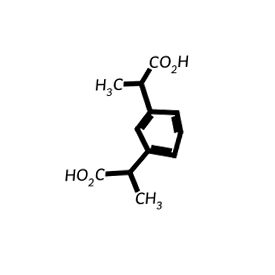 CC(C(=O)O)c1cccc(C(C)C(=O)O)c1